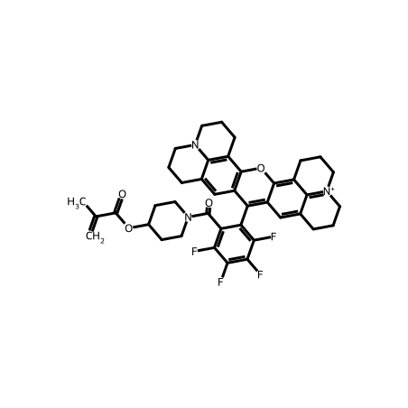 C=C(C)C(=O)OC1CCN(C(=O)c2c(F)c(F)c(F)c(F)c2C2=c3cc4c5c(c3Oc3c2cc2c6c3CCCN6CCC2)CCC[N+]=5CCC4)CC1